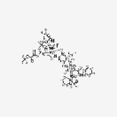 CC(C)C[C@@H](NC(=O)[C@@H](Cc1ccccc1)NC(=O)[C@@H](Cc1ccccc1)NC(=O)OC(C)(C)C)C(=O)N[C@H](CCCCNC(=O)OC(C)(C)C)C(=O)N1CCC(NC(=O)OC(C)(C)C)(C(=O)OCCNC(=O)OC(C)(C)C)C1